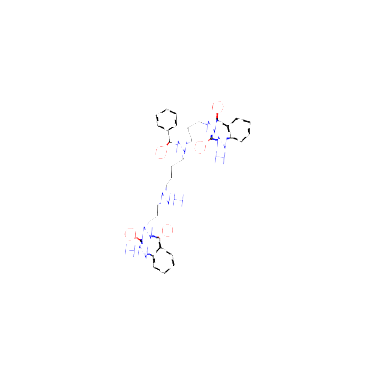 O=C(c1ccccc1)N(CCCCNCCCn1c(=O)[nH]c2ccccc2c1=O)CCCn1c(=O)[nH]c2ccccc2c1=O